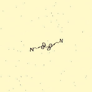 N#CCCC#CCOC(=O)CCC(=O)OCC#CCCC#N